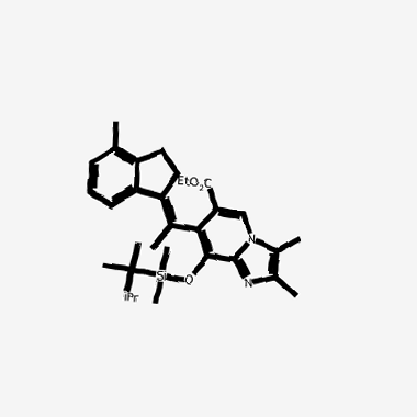 CCOC(=O)c1cn2c(C)c(C)nc2c(O[Si](C)(C)C(C)(C)C(C)C)c1C(C)=C1CCc2c(C)cccc21